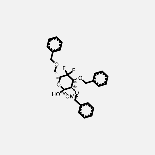 CO[C@]1(O)O[C@H](COCc2ccccc2)C(F)(F)[C@H](OCc2ccccc2)[C@H]1OCc1ccccc1